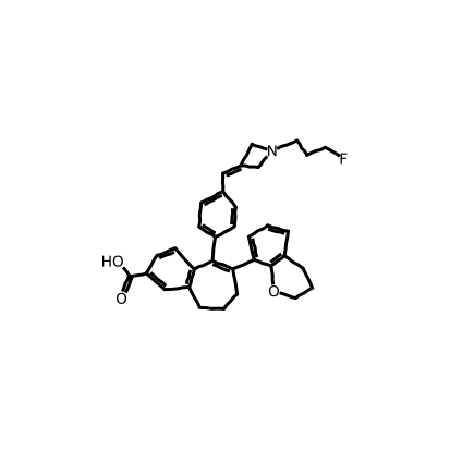 O=C(O)c1ccc2c(c1)CCCC(c1cccc3c1OCCC3)=C2c1ccc(C=C2CN(CCCF)C2)cc1